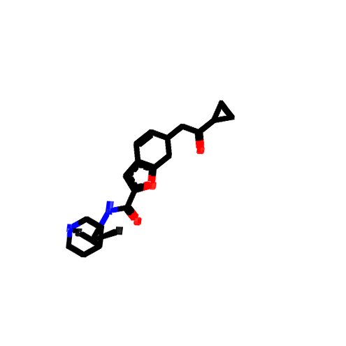 O=C(N[C@H]1CN2CCC1CC2)c1cc2c(o1)CC(CC(=O)C1CC1)C=C2